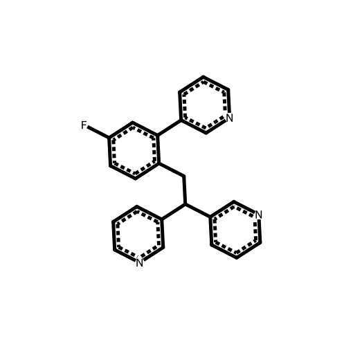 Fc1ccc(CC(c2cccnc2)c2cccnc2)c(-c2cccnc2)c1